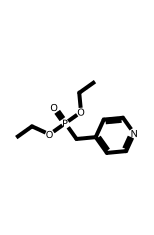 CCOP(=O)(Cc1ccncc1)OCC